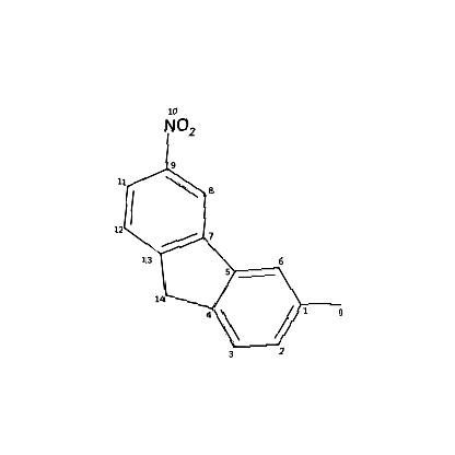 Cc1ccc2c(c1)-c1cc([N+](=O)[O-])ccc1C2